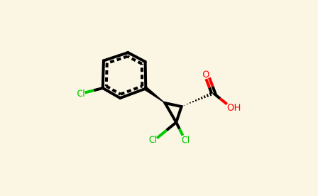 O=C(O)[C@H]1[C@H](c2cccc(Cl)c2)C1(Cl)Cl